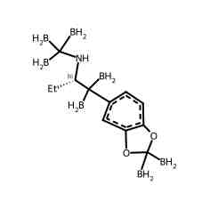 BC(B)(B)N[C@@H](CC)C(B)(B)c1ccc2c(c1)OC(B)(B)O2